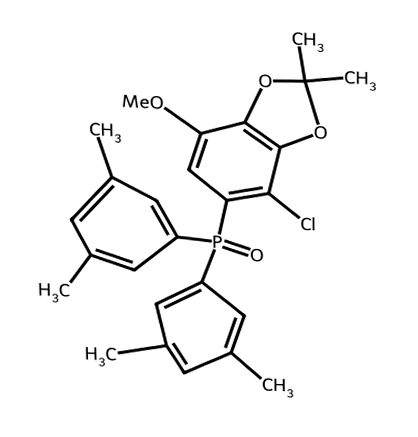 COc1cc(P(=O)(c2cc(C)cc(C)c2)c2cc(C)cc(C)c2)c(Cl)c2c1OC(C)(C)O2